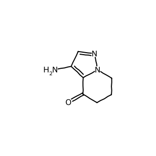 Nc1cnn2c1C(=O)CCC2